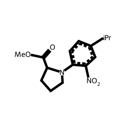 COC(=O)C1CCCN1c1ccc(C(C)C)cc1[N+](=O)[O-]